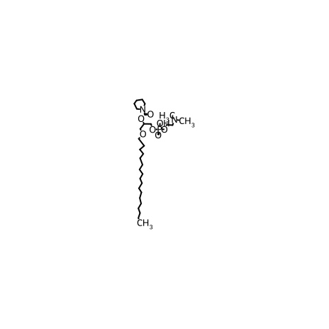 CCCCCCCCCCCCCCCCCCOCC(COP(=O)(O)OCCN(C)C)OC(=O)N1CCCCC1